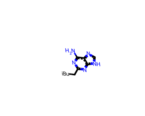 CCC(C)Cc1nc(N)c2nc[nH]c2n1